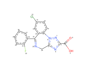 O=C(O)c1nc2n(n1)-c1ccc(Cl)cc1C(c1ccccc1F)=NC2